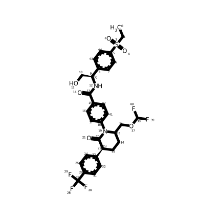 CCS(=O)(=O)c1ccc([C@H](CO)NC(=O)c2ccc(N3C(=O)[C@H](c4ccc(C(F)(F)F)cc4)CCC3COC(F)F)cc2)cc1